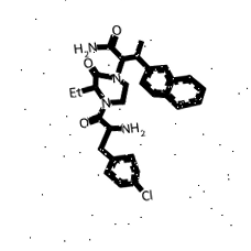 CCC1C(=O)N(C(C(N)=O)C(C)c2ccc3ccccc3c2)CCN1C(=O)C(N)Cc1ccc(Cl)cc1